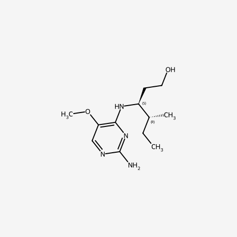 CC[C@@H](C)[C@H](CCO)Nc1nc(N)ncc1OC